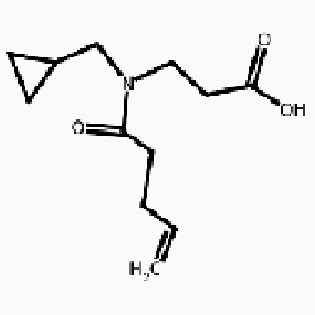 C=CCCC(=O)N(CCC(=O)O)CC1CC1